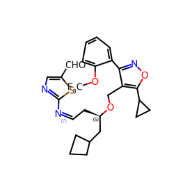 O=Cc1cnc(/N=C\C[C@H](CC2CCC2)OCc2c(-c3ccccc3OC(F)(F)F)noc2C2CC2)s1